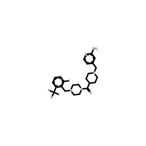 Nc1cc(CN2CCC(C(=O)N3CCN(Cc4c(F)cccc4C(F)(F)F)CC3)CC2)ccn1